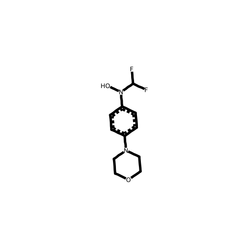 ON(c1ccc(N2CCOCC2)cc1)C(F)F